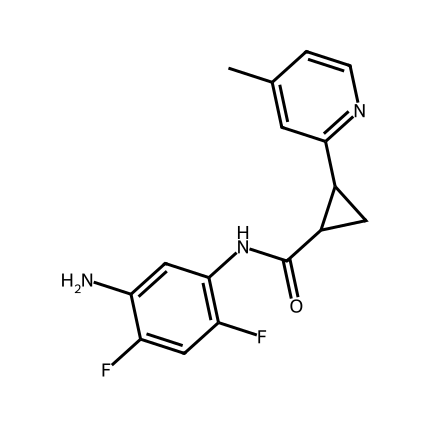 Cc1ccnc(C2CC2C(=O)Nc2cc(N)c(F)cc2F)c1